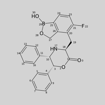 O=C1O[C@H](c2ccccc2)[C@H](c2ccccc2)N[C@H]1Cc1c(F)ccc2c1COB2O